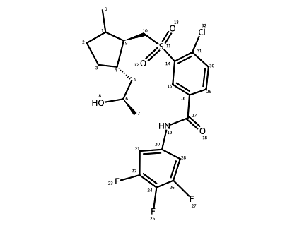 CC1CC[C@@H](C[C@@H](C)O)[C@@H]1CS(=O)(=O)c1cc(C(=O)Nc2cc(F)c(F)c(F)c2)ccc1Cl